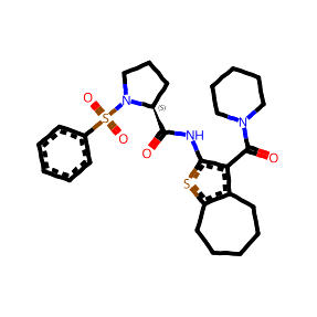 O=C(Nc1sc2c(c1C(=O)N1CCCCC1)CCCCC2)[C@@H]1CCCN1S(=O)(=O)c1ccccc1